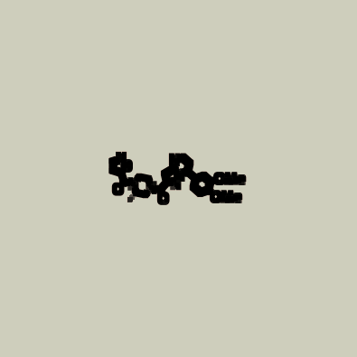 COc1ccc(-c2ccnc3cc(C(=O)N4CCN(C(=O)c5ccno5)[C@@H](C)C4)nn23)cc1OC